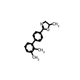 Cc1cccc(-c2ccc(C3=NCC(C)O3)cc2)c1C